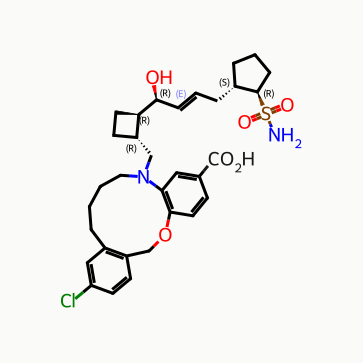 NS(=O)(=O)[C@@H]1CCC[C@H]1C/C=C/[C@H](O)[C@@H]1CC[C@H]1CN1CCCCc2cc(Cl)ccc2COc2ccc(C(=O)O)cc21